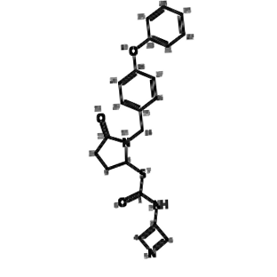 O=C(NC1=CN=C1)SC1CCC(=O)N1Cc1ccc(Oc2ccccc2)cc1